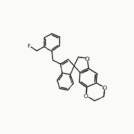 FCc1ccccc1CC1=CC2(COc3cc4c(cc32)OCCO4)c2ccccc21